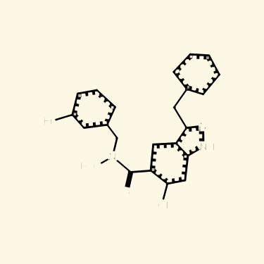 CN(Cc1cccc(Br)c1)C(=O)c1cc2c(Cc3ccccc3)n[nH]c2cc1O